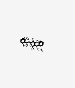 CC[C@H](C1=C(O)C(=O)C([C@@H](CC)[C@H](O)c2ccccc2)OC1=O)c1ccccc1